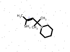 C/C([SiH3])=C/C(C)(C)N1CCCCC1